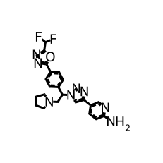 Nc1ccc(-c2cn(C(CN3CCCC3)c3ccc(-c4nnc(C(F)F)o4)cc3)nn2)cn1